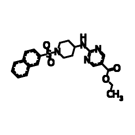 CCOC(=O)c1cnc(NC2CCN(S(=O)(=O)c3ccc4ccccc4c3)CC2)nc1